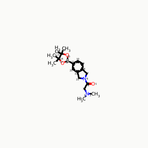 CN(C)CC(=O)N1Cc2ccc(B3OC(C)(C)C(C)(C)O3)cc2C1